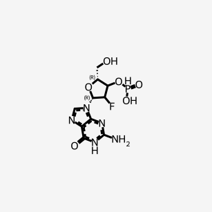 Nc1nc2c(ncn2[C@@H]2O[C@H](CO)C(O[PH](=O)O)C2F)c(=O)[nH]1